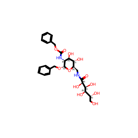 O=C(N[C@H]1[C@@H](OCc2ccccc2)O[C@H](CNC(=O)[C@H](O)[C@@H](O)[C@H](O)[C@H](O)CO)[C@@H](O)[C@@H]1O)OCc1ccccc1